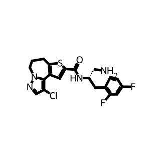 NC[C@H](Cc1ccc(F)cc1F)NC(=O)c1cc2c(s1)CCCn1ncc(Cl)c1-2